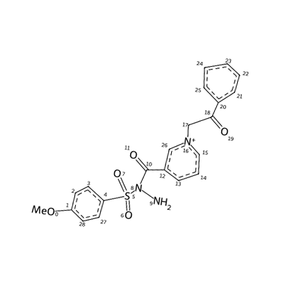 COc1ccc(S(=O)(=O)N(N)C(=O)c2ccc[n+](CC(=O)c3ccccc3)c2)cc1